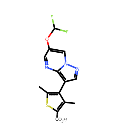 Cc1sc(C(=O)O)c(C)c1-c1cnn2cc(OC(F)F)cnc12